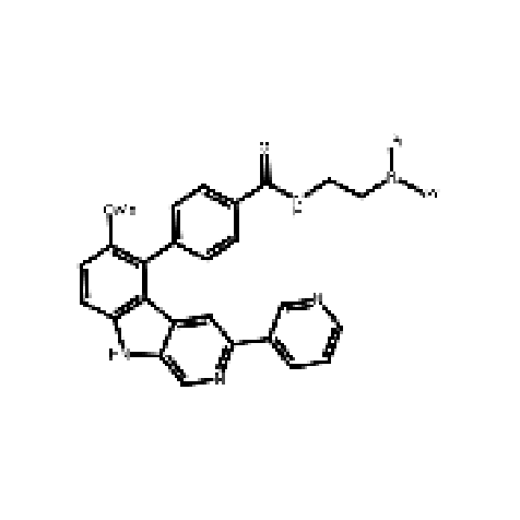 COc1ccc2[nH]c3cnc(-c4cccnc4)cc3c2c1-c1ccc(C(=O)NCCN(C(C)C)C(C)C)cc1